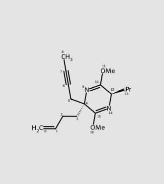 C=CCC[C@]1(CC#CC)N=C(OC)[C@@H](C(C)C)N=C1OC